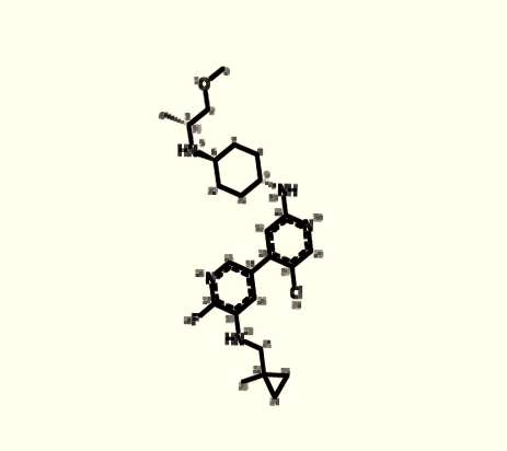 COC[C@@H](C)N[C@H]1CC[C@H](Nc2cc(-c3cnc(F)c(NCC4(C)CC4)c3)c(Cl)cn2)CC1